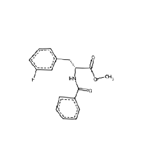 COC(=O)[C@@H](Cc1cccc(F)c1)NC(=O)c1ccccc1